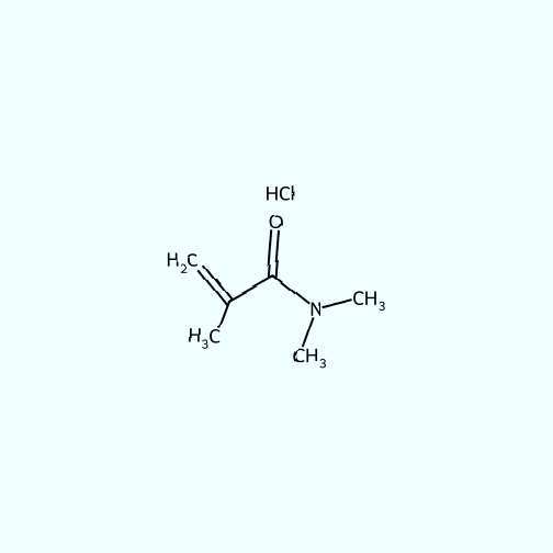 C=C(C)C(=O)N(C)C.Cl